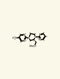 COC[C@H]1CN(c2ncc(N)cn2)CCN1c1ncccn1